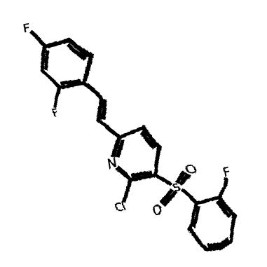 O=S(=O)(c1ccccc1F)c1ccc(C=Cc2ccc(F)cc2F)nc1Cl